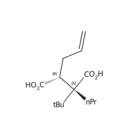 C=CC[C@@H](C(=O)O)[C@](CCC)(C(=O)O)C(C)(C)C